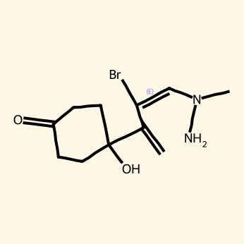 C=C(/C(Br)=C\N(C)N)C1(O)CCC(=O)CC1